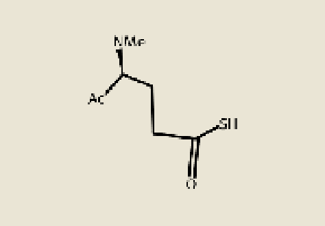 CN[C@@H](CCC(=O)S)C(C)=O